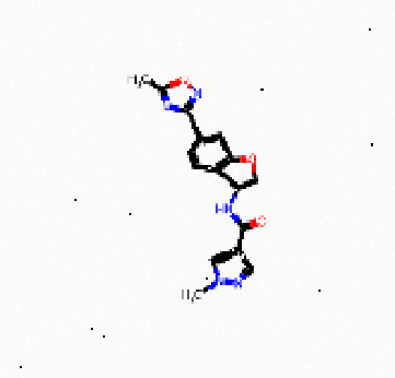 Cc1nc(-c2ccc3c(c2)OC[C@H]3NC(=O)c2cnn(C)c2)no1